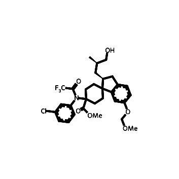 COCOc1ccc2c(c1)C1(CCC(C(=O)OC)(N(C(=O)C(F)(F)F)c3cccc(Cl)c3)CC1)[C@@H](C[C@@H](C)CO)C2